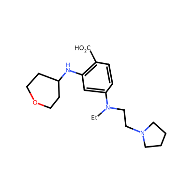 CCN(CCN1CCCC1)c1ccc(C(=O)O)c(NC2CCOCC2)c1